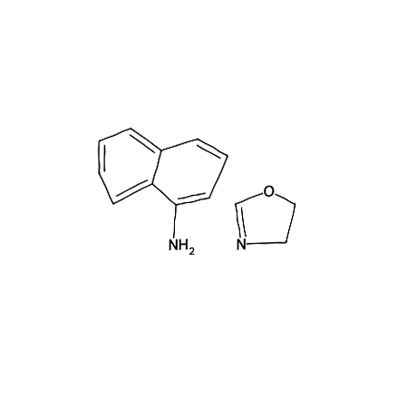 C1=NCCO1.Nc1cccc2ccccc12